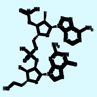 Nc1nc2c(ncn2[C@@H]2S[C@H](CCO)[C@@H](F)[C@H]2OP(=O)(S)OC[C@H]2O[C@@H](n3nnc4c(N)ncnc43)[C@@H](F)[C@@H]2O[PH](=O)S)c(=O)[nH]1